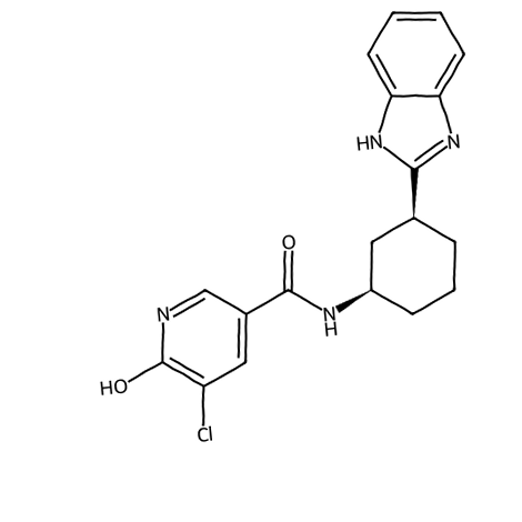 O=C(N[C@@H]1CCC[C@H](c2nc3ccccc3[nH]2)C1)c1cnc(O)c(Cl)c1